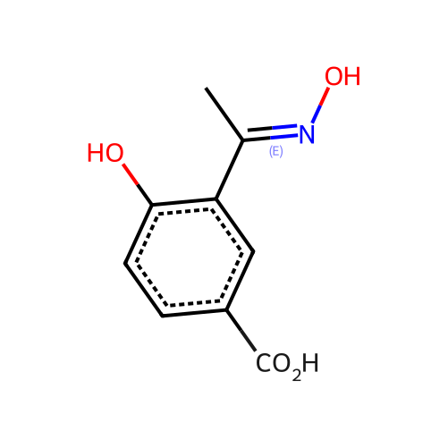 C/C(=N\O)c1cc(C(=O)O)ccc1O